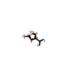 CC(C)c1csc(I)c1